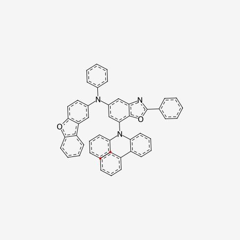 c1ccc(-c2nc3cc(N(c4ccccc4)c4ccc5oc6ccccc6c5c4)cc(N(c4ccccc4)c4ccccc4-c4ccccc4)c3o2)cc1